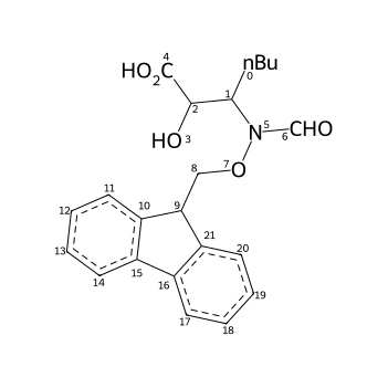 CCCCC(C(O)C(=O)O)N(C=O)OCC1c2ccccc2-c2ccccc21